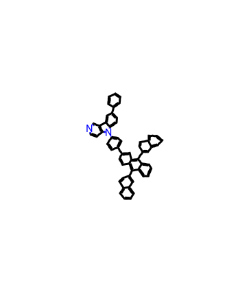 c1ccc(-c2ccc3c(c2)c2cnccc2n3-c2ccc(-c3ccc4c(-c5ccc6ccccc6c5)c5ccccc5c(-c5ccc6ccccc6c5)c4c3)cc2)cc1